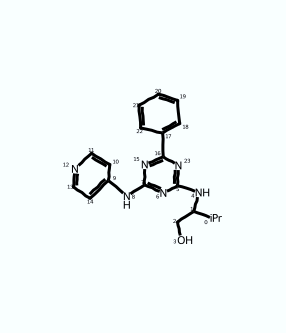 CC(C)C(CO)Nc1nc(Nc2ccncc2)nc(-c2ccccc2)n1